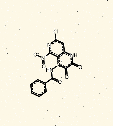 O=C(Nn1c(=O)c(=O)[nH]c2cc(Cl)nc([N+](=O)[O-])c21)c1ccccc1